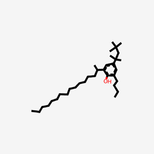 CCCCCCCCCCCCCCC(C)c1cc(C(C)(C)CC(C)(C)C)cc(CCCC)c1O